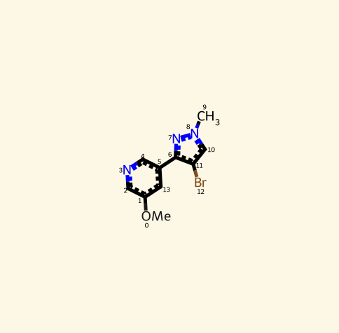 COc1cncc(-c2nn(C)cc2Br)c1